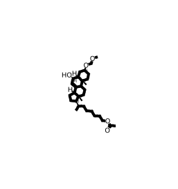 COCO[C@H]1CC[C@]2(C)C3CC[C@]4(C)[C@@H](C(C)CCCCCCOC(C)=O)CC[C@H]4C3=C[C@H](O)[C@H]2C1